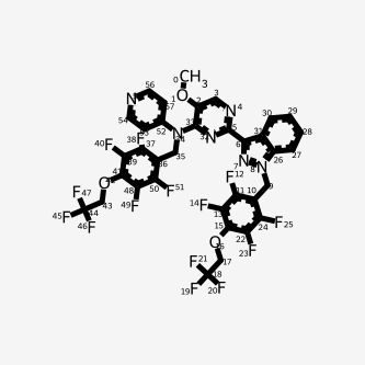 COc1cnc(-c2nn(Cc3c(F)c(F)c(OCC(F)(F)F)c(F)c3F)c3ccccc23)nc1N(Cc1c(F)c(F)c(OCC(F)(F)F)c(F)c1F)c1ccncc1